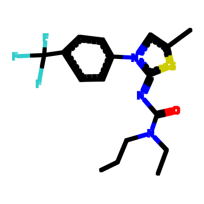 CCCN(CC)C(=O)N=c1sc(C)cn1-c1ccc(C(F)(F)F)cc1